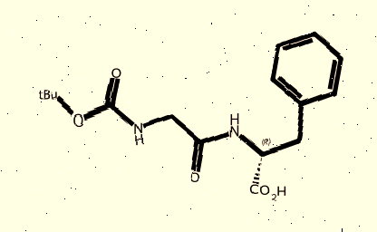 CC(C)(C)OC(=O)NCC(=O)N[C@H](Cc1ccccc1)C(=O)O